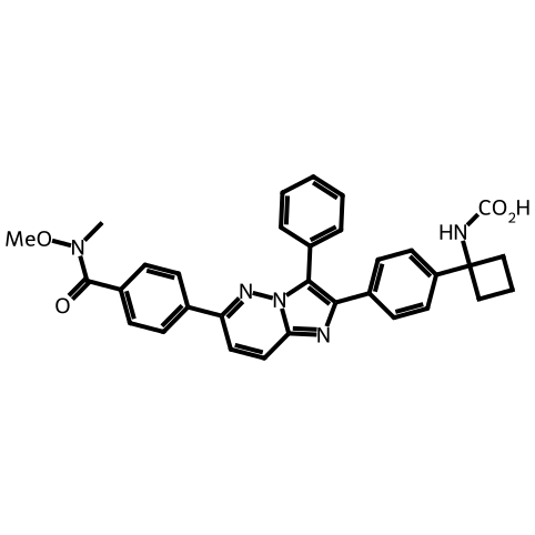 CON(C)C(=O)c1ccc(-c2ccc3nc(-c4ccc(C5(NC(=O)O)CCC5)cc4)c(-c4ccccc4)n3n2)cc1